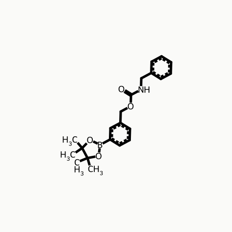 CC1(C)OB(c2cccc(COC(=O)NCc3ccccc3)c2)OC1(C)C